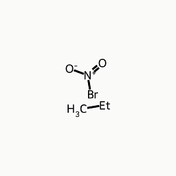 CCC.O=[N+]([O-])Br